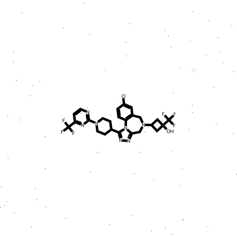 OC1(C(F)(F)F)CC(N2Cc3cc(Cl)ccc3-n3c(nnc3C3CCN(c4nccc(C(F)(F)F)n4)CC3)C2)C1